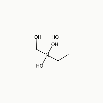 CC[N+](O)(O)CO.[OH-]